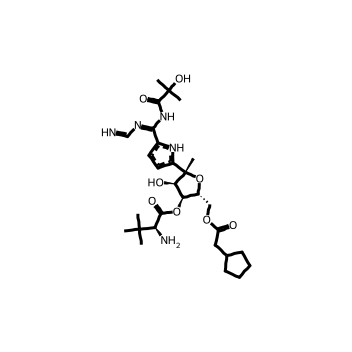 CC(C)(O)C(=O)N/C(=N/C=N)c1ccc([C@]2(C)O[C@H](COC(=O)CC3CCCC3)[C@@H](OC(=O)[C@@H](N)C(C)(C)C)[C@H]2O)[nH]1